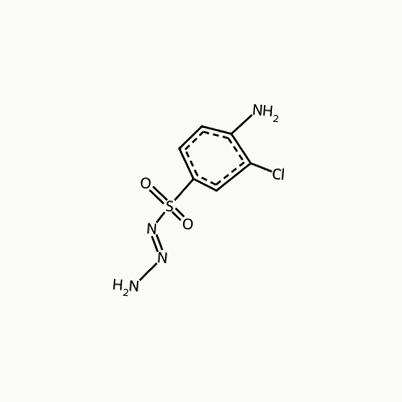 NN=NS(=O)(=O)c1ccc(N)c(Cl)c1